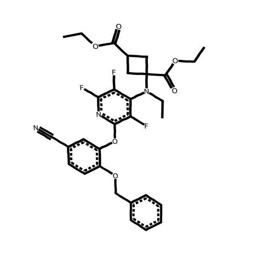 CCOC(=O)C1CC(C(=O)OCC)(N(CC)c2c(F)c(F)nc(Oc3cc(C#N)ccc3OCc3ccccc3)c2F)C1